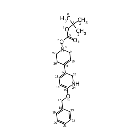 CC(C)(C)OC(=O)ON1CC=C(C2=CC=C(OCc3ccccc3)NC2)CC1